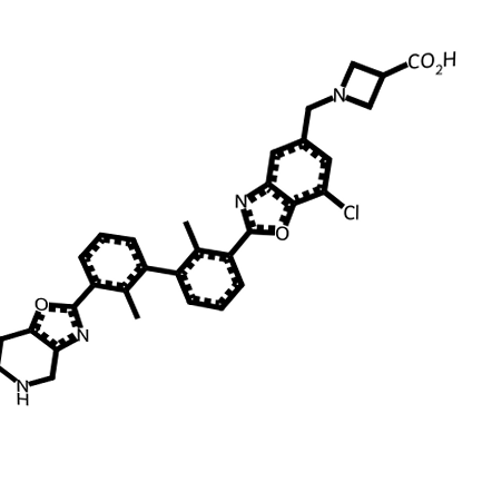 Cc1c(-c2nc3c(o2)CCNC3)cccc1-c1cccc(-c2nc3cc(CN4CC(C(=O)O)C4)cc(Cl)c3o2)c1C